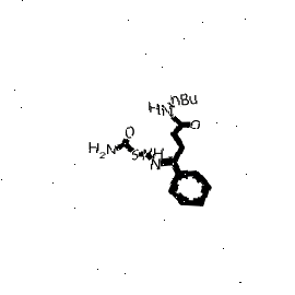 CCCCNC(=O)CCC(=NNSC(N)=O)c1ccccc1